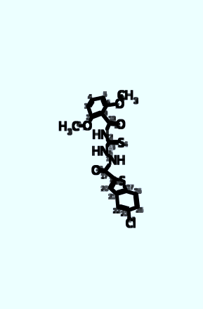 COc1cccc(OC)c1C(=O)NC(=S)NNC(=O)c1cc2cc(Cl)ccc2s1